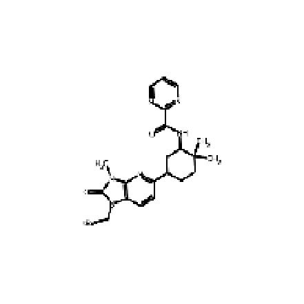 Cn1c(=O)n(CC(C)(C)C)c2ccc(C3CCC(C)(C)C(NC(=O)c4ncccn4)C3)nc21